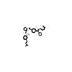 CC(=O)/C=C/c1ccc2nc(C3(NC(=O)c4ccc5c(C6CCCC6)c(-c6ccc(Cl)cn6)n(C)c5c4)CC=CC3)n(C)c2c1